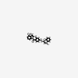 CC(=O)Oc1cccc2c1ccn2C(=O)c1ccc(OC[C@@H]2CN(C)c3ccccc3O2)cc1C